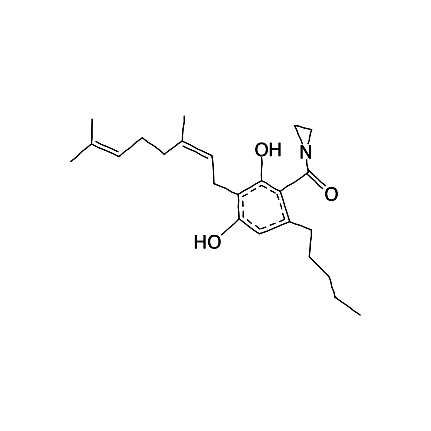 CCCCCc1cc(O)c(CC=C(C)CCC=C(C)C)c(O)c1C(=O)N1CC1